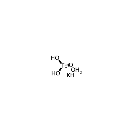 O.O=[Te](O)O.[KH]